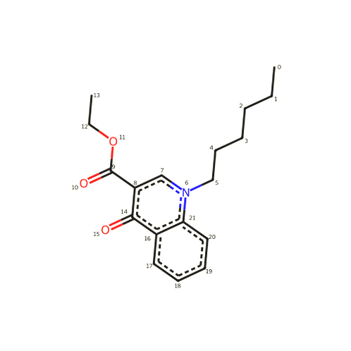 CCCCCCn1cc(C(=O)OCC)c(=O)c2ccccc21